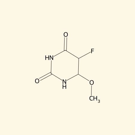 COC1NC(=O)NC(=O)C1F